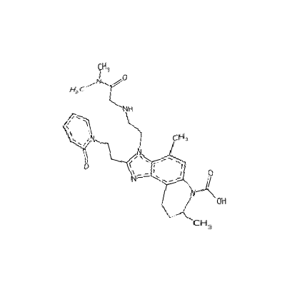 Cc1cc2c(c3nc(CCn4ccccc4=O)n(CCNCC(=O)N(C)C)c13)CCC(C)N2C(=O)O